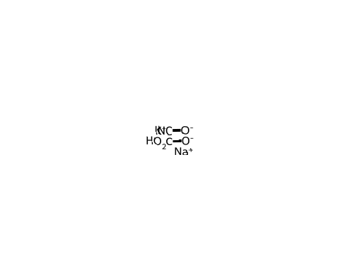 N#C[O-].O=C([O-])O.[K+].[Na+]